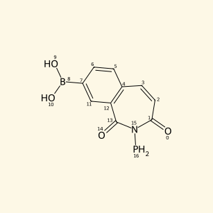 O=c1ccc2ccc(B(O)O)cc2c(=O)n1P